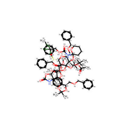 COC(=O)[C@@]1(O[C@@]2(O[Si](C)(C)C(C)(C)C)[C@@](OCc3ccccc3)(OC(=O)c3ccccc3)[C@H](Sc3ccc(C)cc3)O[C@H](COCc3ccccc3)[C@]2(COC(C)=O)OC2(NC(=O)OCC(Cl)(Cl)Cl)CCCCO2)C[C@@H]2OC(=O)N[C@H]2[C@H]([C@@H]2OC(C)(C)O[C@@H]2COCc2ccccc2)O1